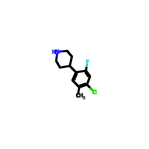 Cc1cc(C2CCNCC2)c(F)cc1Cl